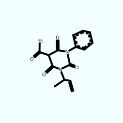 C=CC(C)N1C(=O)C(C(=O)CC)C(=O)N(c2ccccc2)C1=O